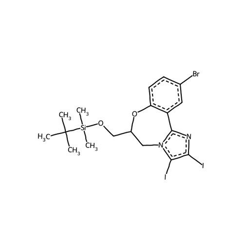 CC(C)(C)[Si](C)(C)OCC1Cn2c(nc(I)c2I)-c2cc(Br)ccc2O1